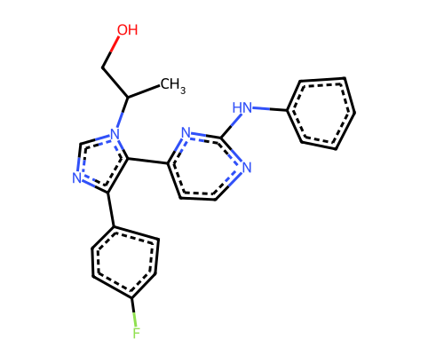 CC(CO)n1cnc(-c2ccc(F)cc2)c1-c1ccnc(Nc2ccccc2)n1